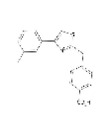 Cc1cccc(-c2csc(Cc3ccc(C(=O)O)cc3)n2)c1